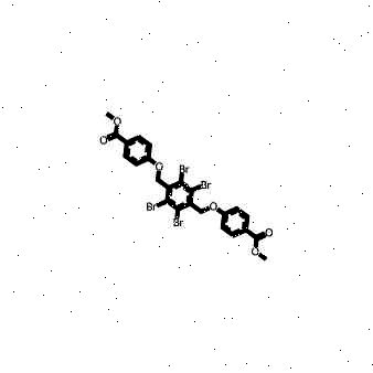 COC(=O)c1ccc(OCc2c(Br)c(Br)c(COc3ccc(C(=O)OC)cc3)c(Br)c2Br)cc1